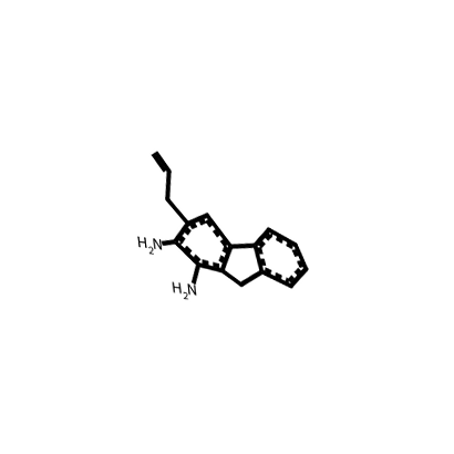 C=CCc1cc2c(c(N)c1N)Cc1ccccc1-2